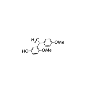 COc1ccc(C(C)c2cc(O)ccc2OC)cc1